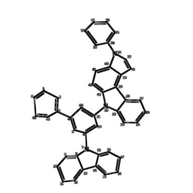 c1ccc(-c2cc(-n3c4ccccc4c4ccccc43)cc(-n3c4ccccc4c4c5ccn(-c6ccccc6)c5ccc43)c2)cc1